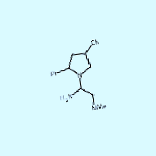 CNCC(N)N1CC(C#N)CC1C(C)C